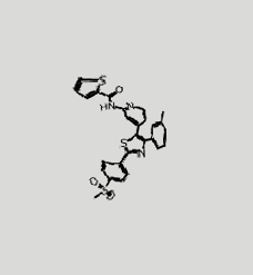 Cc1cccc(-c2nc(-c3ccc(S(C)(=O)=O)cc3)sc2-c2ccnc(NC(=O)c3cccs3)c2)c1